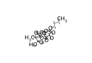 CCCCOS(=O)(=O)C(=O)S(=O)(=O)OS(=O)(=O)C(C)C(=O)O